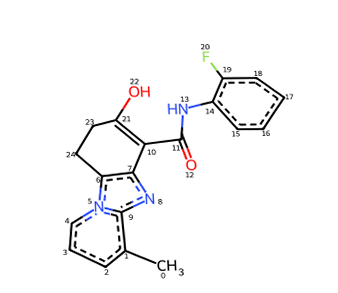 Cc1cccn2c3c(nc12)C(C(=O)Nc1ccccc1F)=C(O)CC3